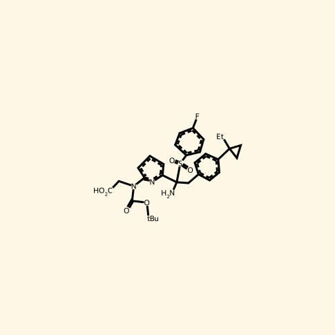 CCC1(c2ccc(CC(N)(c3cccc(N(CC(=O)O)C(=O)OC(C)(C)C)n3)S(=O)(=O)c3ccc(F)cc3)cc2)CC1